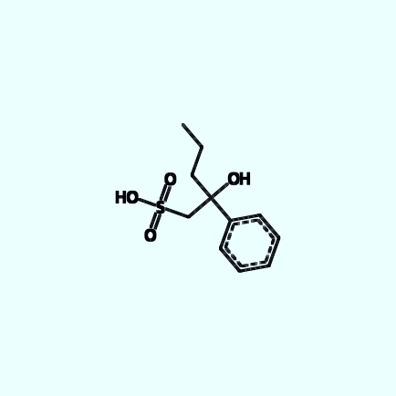 CCCC(O)(CS(=O)(=O)O)c1ccccc1